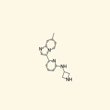 Cc1ccn2c(-c3cccc(NC4CNC4)n3)cnc2c1